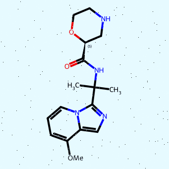 COc1cccn2c(C(C)(C)NC(=O)[C@@H]3CNCCO3)ncc12